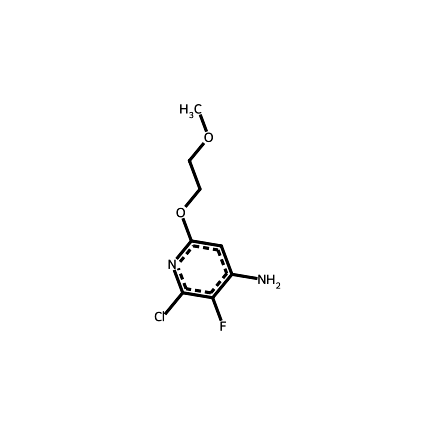 COCCOc1cc(N)c(F)c(Cl)n1